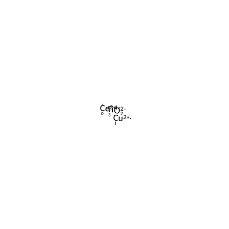 [Ce+3].[Cu+2].[O-2].[Ti+4]